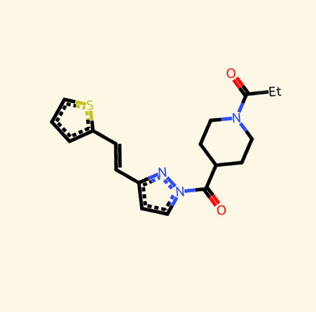 CCC(=O)N1CCC(C(=O)n2ccc(C=Cc3cccs3)n2)CC1